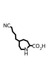 N#CCCCCC1CCNC(C(=O)O)CC1